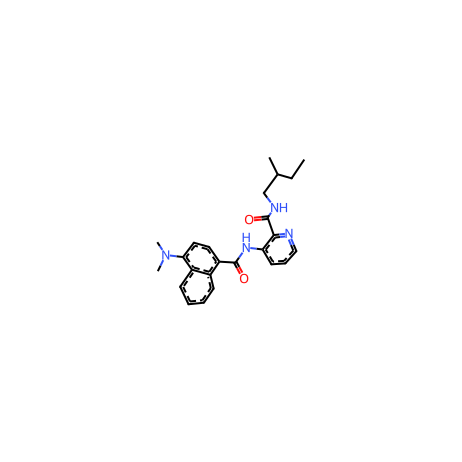 CCC(C)CNC(=O)c1ncccc1NC(=O)c1ccc(N(C)C)c2ccccc12